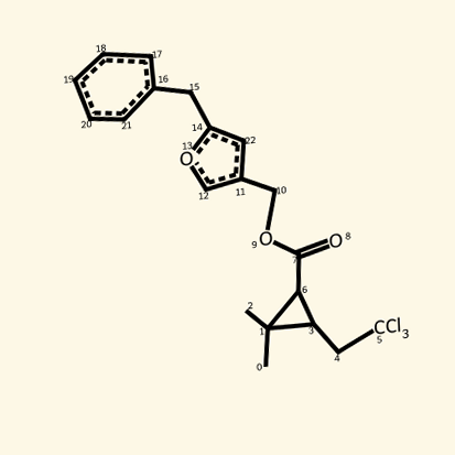 CC1(C)C(CC(Cl)(Cl)Cl)C1C(=O)OCc1coc(Cc2ccccc2)c1